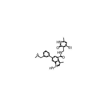 CCCn1cc(C)c2c(C(=O)NCc3c(CC)cc(C)[nH]c3=O)cc(-c3cccc(CN(C)C)c3)cc21